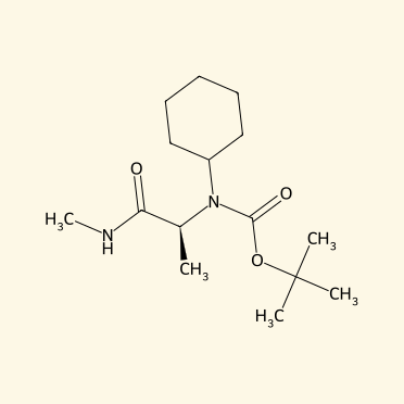 CNC(=O)[C@H](C)N(C(=O)OC(C)(C)C)C1CCCCC1